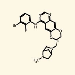 CN1CC2CC1CN2C[C@H]1COc2cc3ncnc(Nc4cccc(Br)c4F)c3cc2O1